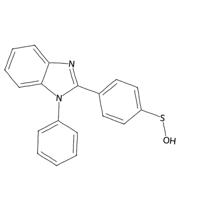 OSc1ccc(-c2nc3ccccc3n2-c2ccccc2)cc1